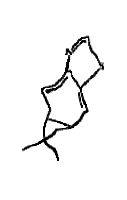 CC1(C)C2C=c3ncsc3=CC21